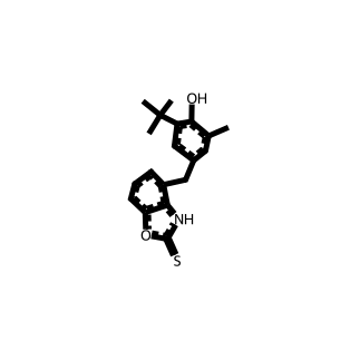 Cc1cc(Cc2cccc3oc(=S)[nH]c23)cc(C(C)(C)C)c1O